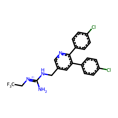 N/C(=N\CC(F)(F)F)NCc1cnc(-c2ccc(Cl)cc2)c(-c2ccc(Cl)cc2)c1